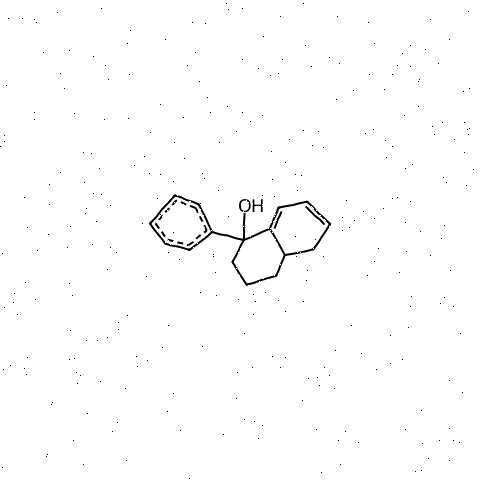 OC1(c2ccccc2)CCCC2CC=CC=C21